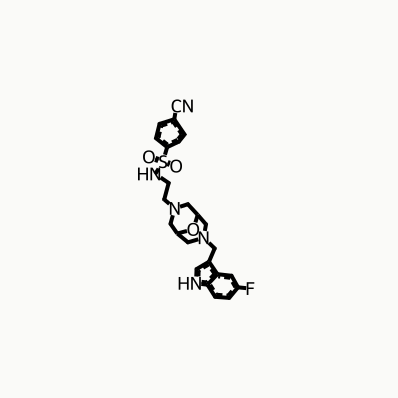 N#Cc1ccc(S(=O)(=O)NCCN2CC3CN(Cc4c[nH]c5ccc(F)cc45)CC(C2)O3)cc1